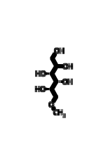 COC[C@H](O)[C@@H](O)[C@H](O)C(O)CO